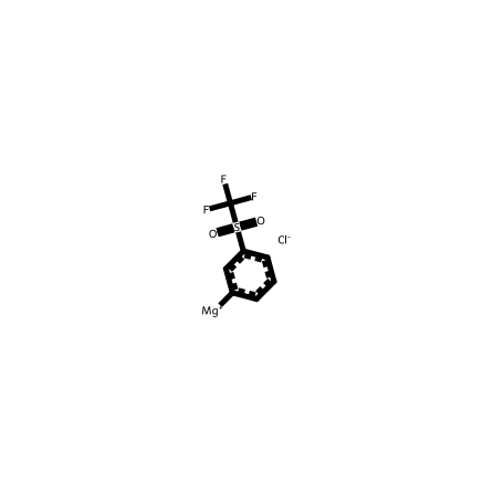 O=S(=O)(c1ccc[c]([Mg+])c1)C(F)(F)F.[Cl-]